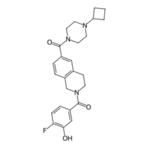 O=C(c1ccc2c(c1)CCN(C(=O)c1ccc(F)c(O)c1)C2)N1CCN(C2CCC2)CC1